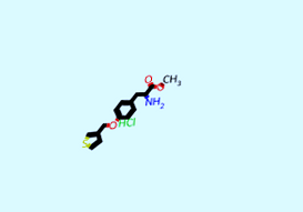 COC(=O)C(N)Cc1ccc(OCc2ccsc2)cc1.Cl